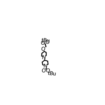 CC(C)(C)OC(=O)COC1CCN(C2CCN(C(=O)OC(C)(C)C)CC2)CC1